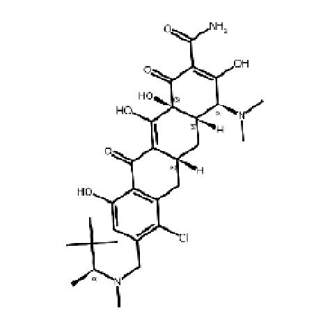 C[C@H](N(C)Cc1cc(O)c2c(c1Cl)C[C@H]1C[C@H]3[C@H](N(C)C)C(O)=C(C(N)=O)C(=O)[C@@]3(O)C(O)=C1C2=O)C(C)(C)C